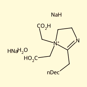 CCCCCCCCCCCC1=NCC[N+]1(CC(=O)O)CC(=O)O.O.[NaH].[NaH]